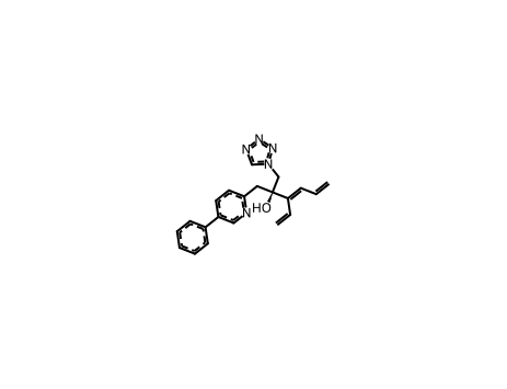 C=C/C=C(\C=C)[C@](O)(Cc1ccc(-c2ccccc2)cn1)Cn1cnnn1